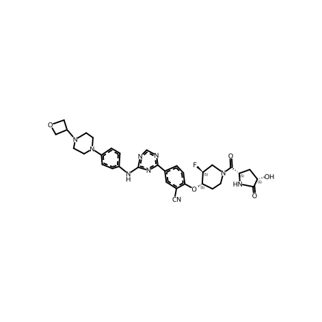 N#Cc1cc(-c2ncnc(Nc3ccc(N4CCN(C5COC5)CC4)cc3)n2)ccc1O[C@H]1CCN(C(=O)[C@@H]2C[C@H](O)C(=O)N2)C[C@@H]1F